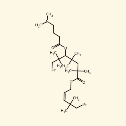 CC(C)CC(C)(C)/C=C\COC(=O)C(C)(C)CC(C)(C)C(OC(=O)CCCN(C)C)C(C)(C)CC(C)C